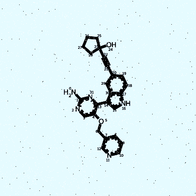 Nc1ncc(OCc2cccnc2)c(-c2c[nH]c3ccc(C#CC4(O)CCCC4)cc23)n1